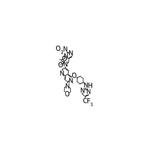 Cn1c(CN(c2cnc3cc(N4CCOCC4)nc(OC4CCC(Nc5ncc(C(F)(F)F)cn5)CC4)c3c2)S(C)(=O)=O)cnc1[N+](=O)[O-]